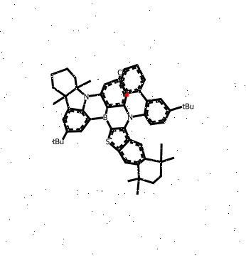 CC(C)(C)c1ccc(N2c3cc(Cl)cc4c3B(c3cc(C(C)(C)C)cc5c3N4C3(C)CCCCC53C)c3sc4cc5c(cc4c32)C(C)(C)CCC5(C)C)c(-c2ccccc2)c1